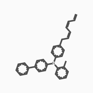 C=C/C=C\C=C/Cc1ccc(N(c2ccc(-c3ccccc3)cc2)c2ccccc2C)cc1